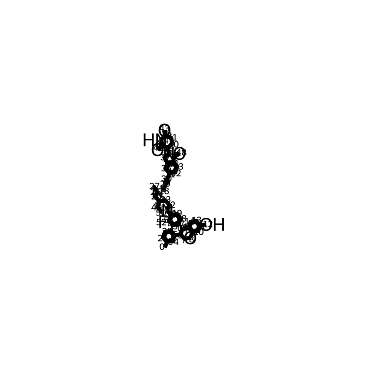 Cc1cccc(C2COc3cc(O)ccc3[C@H]2c2ccc(N3CCC(CN(C)CC#Cc4ccc5c(c4)CN(C4CCC(=O)NC4=O)C5=O)CC3)c(F)c2)c1